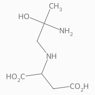 CC(N)(O)CNC(CC(=O)O)C(=O)O